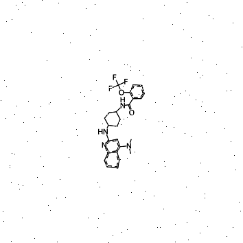 CN(C)c1cc(NC2CCC(NC(=O)c3ccccc3OC(F)(F)F)CC2)nc2ccccc12